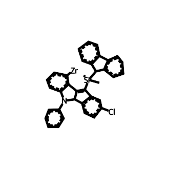 C[Si](C)(C1=C2c3[c]([Zr])cccc3N(c3ccccc3)C2c2ccc(Cl)cc21)C1c2ccccc2-c2ccccc21